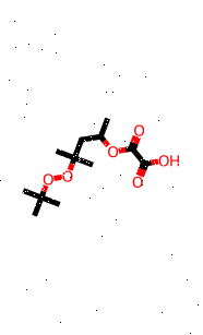 CC(CC(C)(C)OOC(C)(C)C)OC(=O)C(=O)O